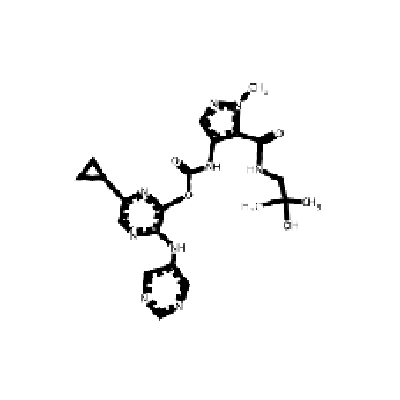 Cn1ncc(NC(=O)Oc2nc(C3CC3)cnc2Nc2cncnc2)c1C(=O)NCC(C)(C)O